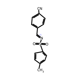 Cc1ccc(S(=O)(=O)/N=C/c2ccc(C#N)cc2)cc1